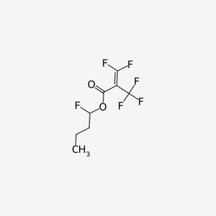 CCCC(F)OC(=O)C(=C(F)F)C(F)(F)F